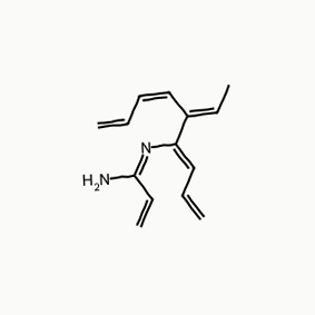 C=C\C=C/C(=C\C)C(=C/C=C)/N=C(/N)C=C